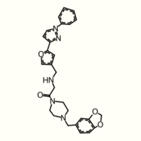 O=C(CNCc1coc(-c2ccn(-c3ccccc3)n2)c1)N1CCN(Cc2ccc3c(c2)OCO3)CC1